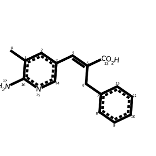 Cc1cc(C=C(Cc2ccccc2)C(=O)O)cnc1N